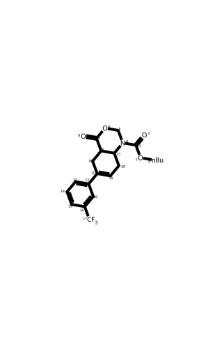 CCCCOC(=O)N1COC(=O)C2CC(c3cccc(C(F)(F)F)c3)=CCC21